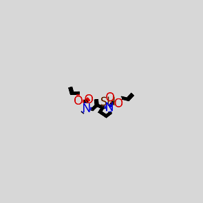 C=CCOC(=O)N(C)CC(=C)[C@@]1(S)CCCN1C(=O)OCC=C